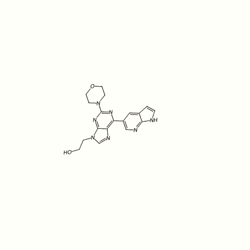 OCCn1cnc2c(-c3cnc4[nH]ccc4c3)nc(N3CCOCC3)nc21